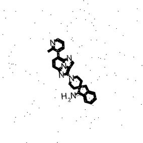 Cc1ncccc1-c1ccc2nc(N3CCC4(CC3)Cc3ccccc3[C@H]4N)c3cnc1n23